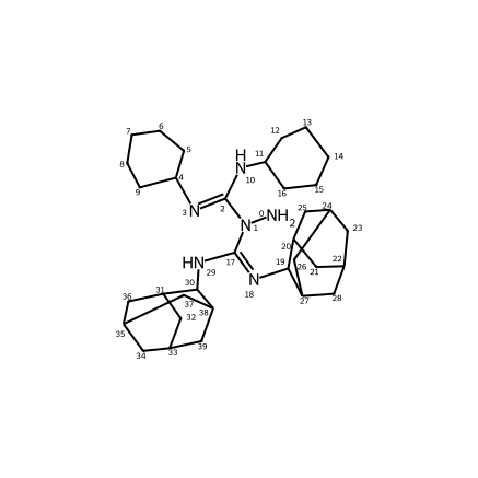 NN(C(=NC1CCCCC1)NC1CCCCC1)C(=NC1C2CC3CC(C2)CC1C3)NC1C2CC3CC(C2)CC1C3